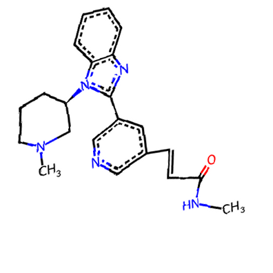 CNC(=O)/C=C/c1cncc(-c2nc3ccccc3n2[C@@H]2CCCN(C)C2)c1